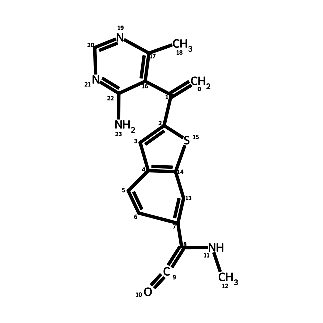 C=C(c1cc2ccc(C(=C=O)NC)cc2s1)c1c(C)ncnc1N